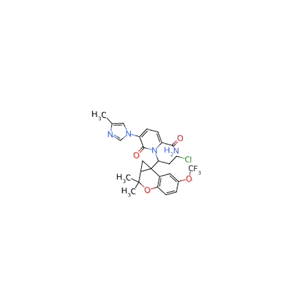 Cc1cn(-c2ccc(C(N)=O)n(C(CCCl)C34CC3C(C)(C)Oc3ccc(OC(F)(F)F)cc34)c2=O)cn1